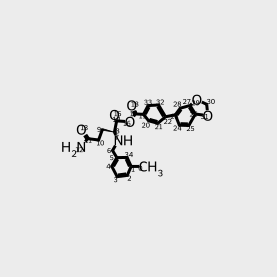 Cc1cccc(CN[C@@H](CCC(N)=O)C(=O)OC(=O)c2ccc(-c3ccc4c(c3)OCO4)cc2)c1